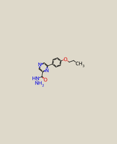 CCCOc1ccc(-c2cncc(C(=O)NN)n2)cc1